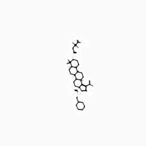 CC(C)C1=C2[C@H]3CC[C@@H]4[C@@]5(C)CC[C@H](OC(=O)CC(C)(C)C(=O)O)C(C)(C)[C@@H]5CC[C@@]4(C)[C@]3(C)CC[C@@]2(C(=O)NCC2CCCCC2)CC1=O